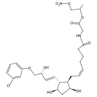 CC(CO[N+](=O)[O-])OC(=O)CNC(=O)CCC/C=C\C[C@@H]1[C@@H](/C=C/[C@@H](O)COc2cccc(Cl)c2)[C@H](O)C[C@@H]1O